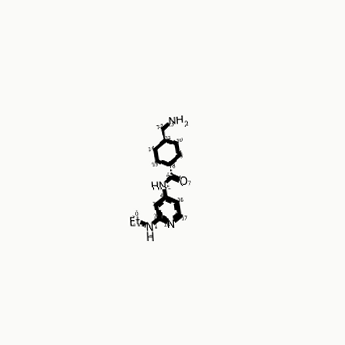 CCNc1cc(NC(=O)[C@H]2CC[C@H](CN)CC2)ccn1